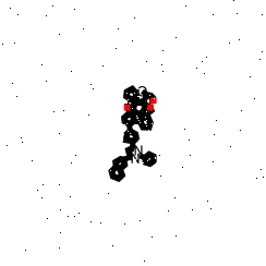 c1ccc(-c2nc(-c3ccc(-c4cccc5c4-c4ccccc4C54c5ccccc5C5(c6ccccc6Oc6ccccc65)c5ccccc54)cc3)cc(-c3ccc4ccccc4c3)n2)cc1